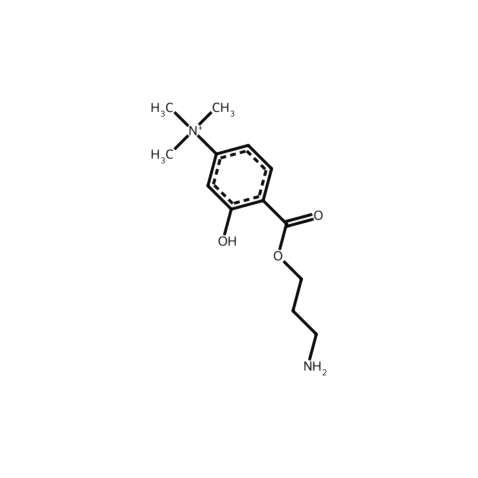 C[N+](C)(C)c1ccc(C(=O)OCCCN)c(O)c1